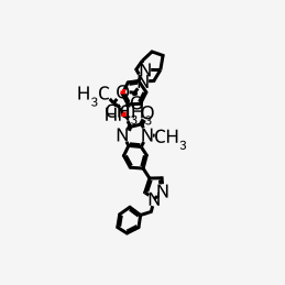 Cn1c(=O)c(Nc2ccc(N3C4CCC3CN(C(=O)OC(C)(C)C)C4)cc2)nc2ccc(-c3cnn(Cc4ccccc4)c3)cc21